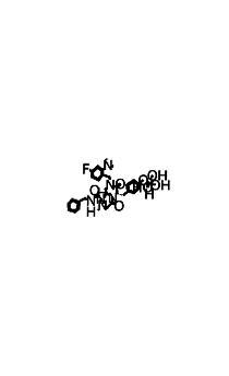 CN(C)c1cc(F)ccc1CN1C[C@H]2N(C(=O)CN(C)N2C(=O)NCc2ccccc2)[C@@H](Cc2ccc(O[PH](O)(O)O)cc2)C1=O